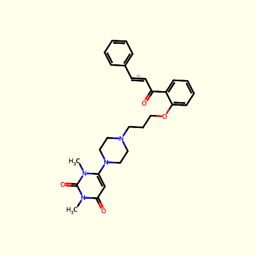 Cn1c(N2CCN(CCCOc3ccccc3C(=O)/C=C/c3ccccc3)CC2)cc(=O)n(C)c1=O